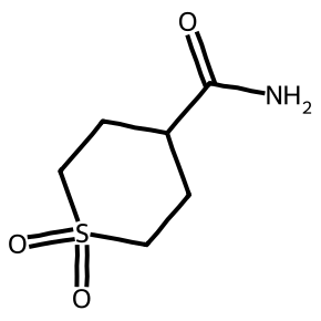 NC(=O)C1CCS(=O)(=O)CC1